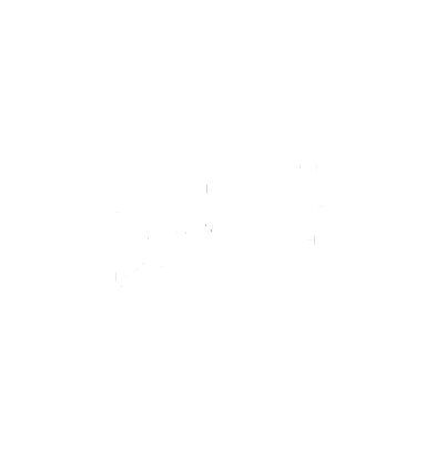 C=C(S)/C(=C\C=C(/CC)N(C)CCC(=O)/C(CC)=C(/C)C(C)=O)C(F)F